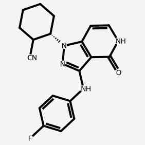 N#CC1CCCC[C@@H]1n1nc(Nc2ccc(F)cc2)c2c(=O)[nH]ccc21